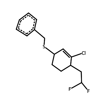 FC(F)CC1CCC(SCc2ccccc2)C=C1Cl